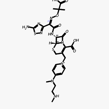 CNCCN(C)c1cc[n+](CC2=C(C(=O)O)N3C(=O)[C@@H](NC(=O)/C(=N\OC(C)(C)C(=O)O)c4nsc(N)n4)[C@H]3SC2)cc1